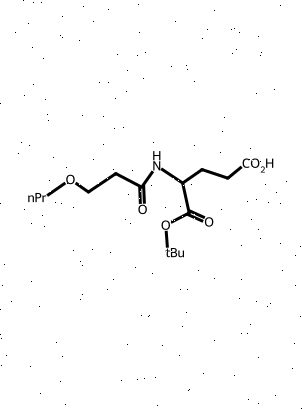 CCCOCCC(=O)NC(CCC(=O)O)C(=O)OC(C)(C)C